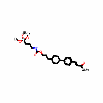 CCO[Si](CCCNC(=O)OCCCC1CCC(c2ccc(C=CC(=O)OC)cc2)CC1)(OCC)OCC